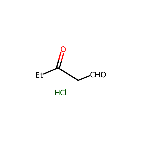 CCC(=O)CC=O.Cl